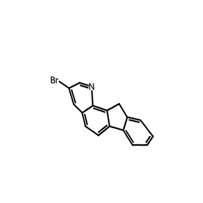 Brc1cnc2c3c(ccc2c1)-c1ccccc1C3